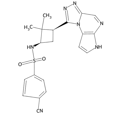 CC1(C)[C@@H](c2nnc3cnc4[nH]ccc4n23)C[C@H]1NS(=O)(=O)c1ccc(C#N)cc1